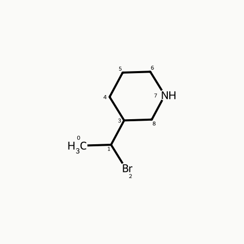 CC(Br)C1CCCNC1